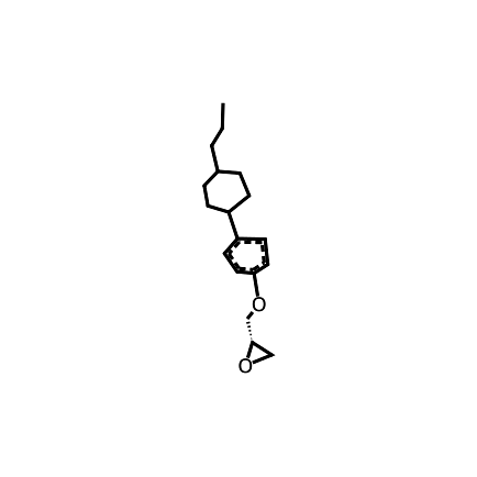 CCCC1CCC(c2ccc(OC[C@@H]3CO3)cc2)CC1